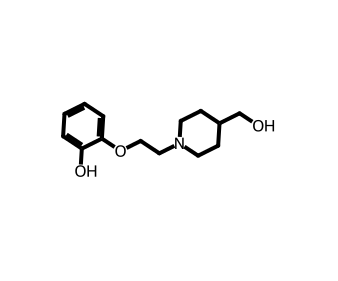 OCC1CCN(CCOc2ccccc2O)CC1